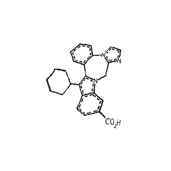 O=C(O)c1ccc2c(C3CCCCC3)c3n(c2c1)Cc1nccn1-c1ccccc1-3